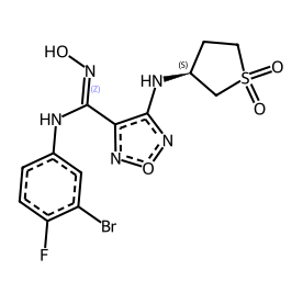 O=S1(=O)CC[C@H](Nc2nonc2/C(=N/O)Nc2ccc(F)c(Br)c2)C1